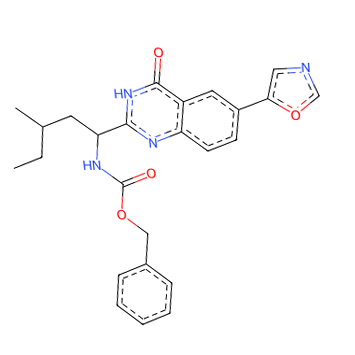 CCC(C)CC(NC(=O)OCc1ccccc1)c1nc2ccc(-c3cnco3)cc2c(=O)[nH]1